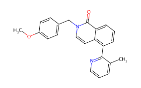 COc1ccc(Cn2ccc3c(-c4ncccc4C)cccc3c2=O)cc1